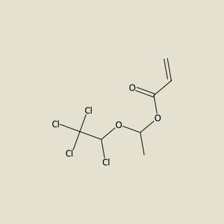 C=CC(=O)OC(C)OC(Cl)C(Cl)(Cl)Cl